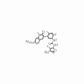 CNc1cc2c(cn1)cc(-c1cc(NC(=O)Nc3onc(C(C)(C)C)c3F)c(F)cc1C)c(=O)n2C